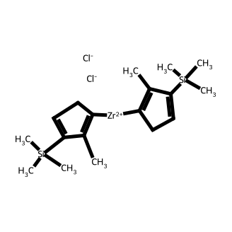 CC1=[C]([Zr+2][C]2=C(C)C([Si](C)(C)C)=CC2)CC=C1[Si](C)(C)C.[Cl-].[Cl-]